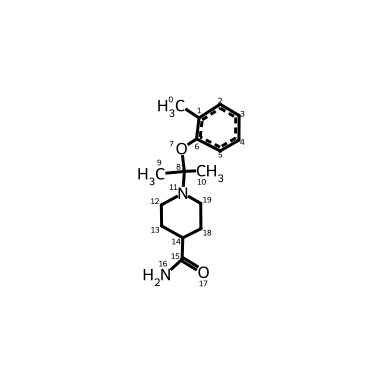 Cc1ccccc1OC(C)(C)N1CCC(C(N)=O)CC1